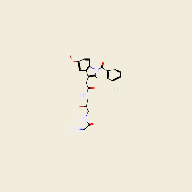 COc1ccc2c(c1)c(CC(=O)NCC(O)CNC(=O)[C@H](C)N)c(C)n2C(=O)c1ccccc1.Cl